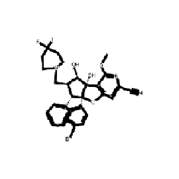 COc1nc(C#N)cc2c1[C@]1(O)[C@H](O)[C@H](CN3CCC(F)(F)CC3)[C@@H](c3ccccc3)[C@]1(c1ccc(Br)cc1)O2